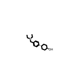 CCN(CC)Cc1ccc([C@H]2CC[C@H](O)CC2)cc1